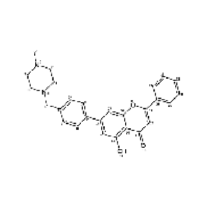 CN1CCN(Cc2ccc(-c3cc(O)c4c(=O)cc(-c5ccccc5)oc4c3)cc2)CC1